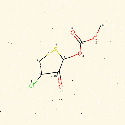 COC(=O)OC1SCC(Cl)C1=O